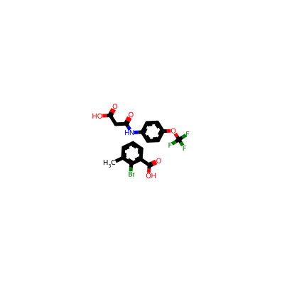 Cc1cccc(C(=O)O)c1Br.O=C(O)CC(=O)Nc1ccc(OC(F)(F)F)cc1